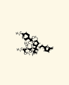 Cc1ccc(C(C)(C)N2CC[C@@](CCc3ccc(F)s3)(C(F)(NC(=O)NC(C)C)C(F)(F)F)C2)cn1